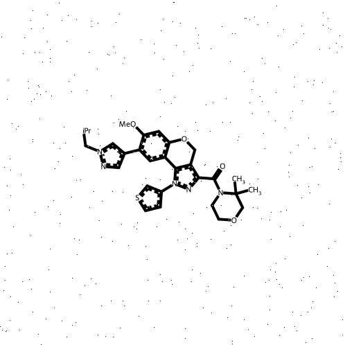 COc1cc2c(cc1-c1cnn(CC(C)C)c1)-c1c(c(C(=O)N3CCOCC3(C)C)nn1-c1ccsc1)CO2